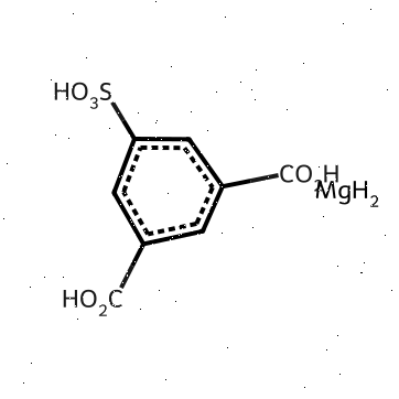 O=C(O)c1cc(C(=O)O)cc(S(=O)(=O)O)c1.[MgH2]